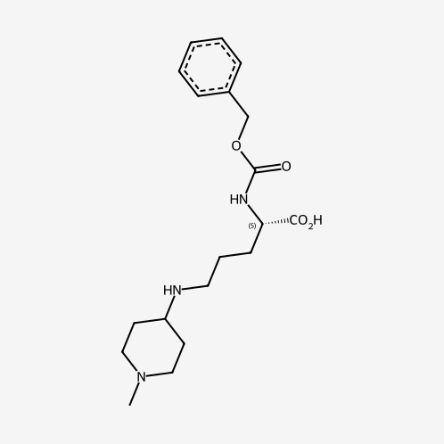 CN1CCC(NCCC[C@H](NC(=O)OCc2ccccc2)C(=O)O)CC1